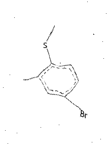 CSc1ccc(Br)cc1C